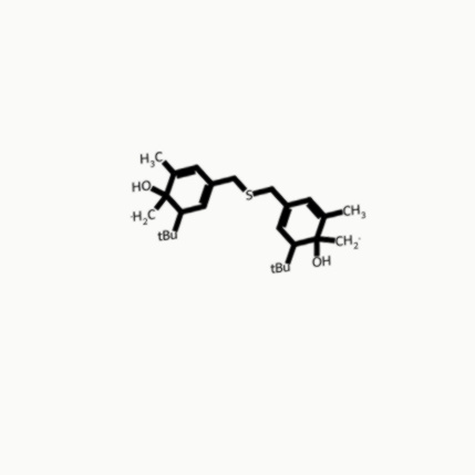 [CH2]C1(O)C(C)=CC(CSCC2=CC(C(C)(C)C)C([CH2])(O)C(C)=C2)=CC1C(C)(C)C